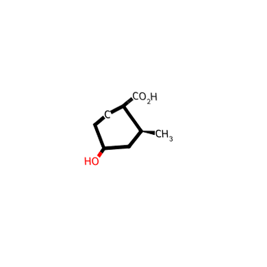 C[C@H]1CC(O)CCC1C(=O)O